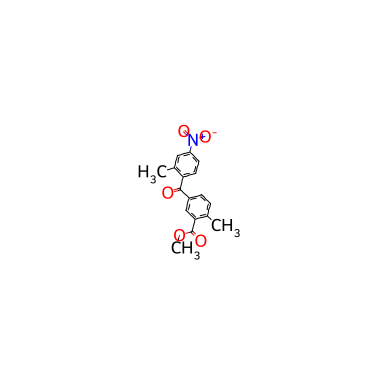 COC(=O)c1cc(C(=O)c2ccc([N+](=O)[O-])cc2C)ccc1C